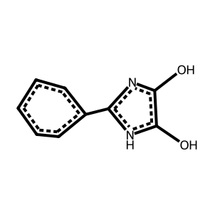 Oc1nc(-c2ccccc2)[nH]c1O